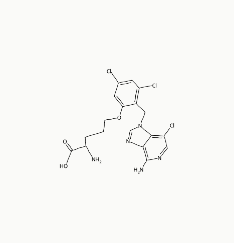 Nc1ncc(Cl)c2c1ncn2Cc1c(Cl)cc(Cl)cc1OCCCC(N)C(=O)O